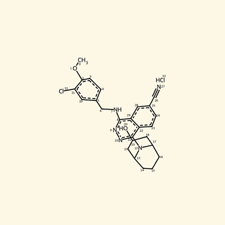 COc1ccc(CNc2nnc(N3C4CCCC3CC(O)C4)c3ccc(C#N)cc23)cc1Cl.Cl